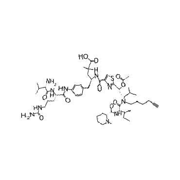 C#CCCCCN(C(=O)[C@@H](NC(=O)[C@H]1CCCCN1C)[C@@H](C)CC)[C@H](C[C@@H](OC(C)=O)c1nc(C(=O)N[C@@H](Cc2ccc(NC(=O)[C@H](CCCNC(N)=O)NC(=O)[C@@H](N)C(C)C)cc2)CC(C)(C)C(=O)O)cs1)C(C)C